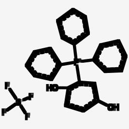 F[B-](F)(F)F.Oc1ccc(O)c([P+](c2ccccc2)(c2ccccc2)c2ccccc2)c1